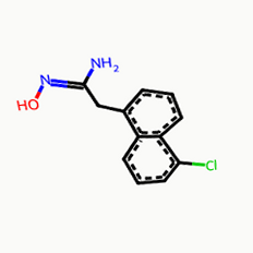 N/C(Cc1cccc2c(Cl)cccc12)=N/O